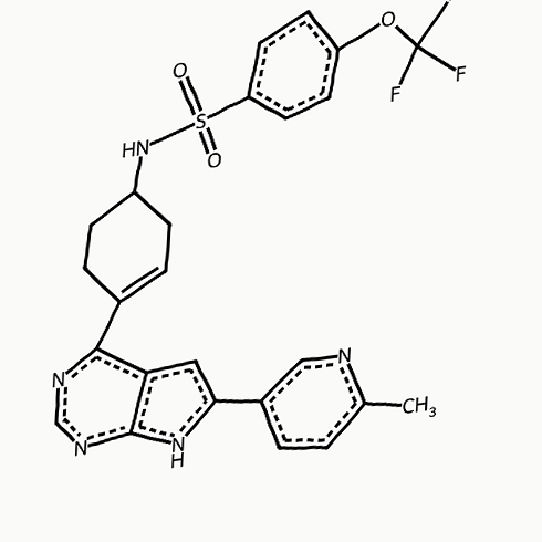 Cc1ccc(-c2cc3c(C4=CCC(NS(=O)(=O)c5ccc(OC(F)(F)F)cc5)CC4)ncnc3[nH]2)cn1